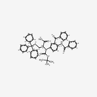 CC(C)(C)OC(=O)N(c1ccc(NC(=O)c2ccccc2)c(C(=O)c2ccccc2)c1)[C@@H](CSC(c1ccccc1)(c1ccccc1)c1ccccc1)C(=O)O